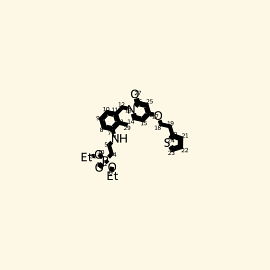 CCOP(=O)(CCNc1cccc(Cn2ccc(OCCc3cccs3)cc2=O)c1C)OCC